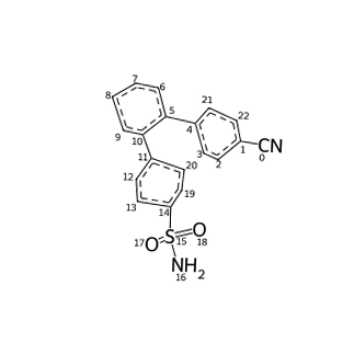 N#Cc1ccc(-c2ccccc2-c2ccc(S(N)(=O)=O)cc2)cc1